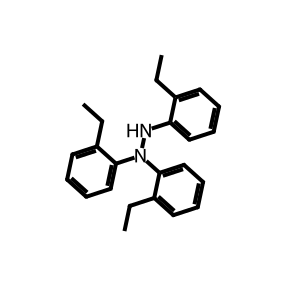 CCc1ccccc1NN(c1ccccc1CC)c1ccccc1CC